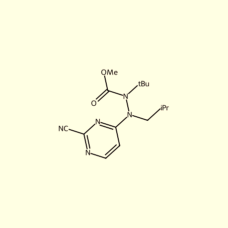 COC(=O)N(N(CC(C)C)c1ccnc(C#N)n1)C(C)(C)C